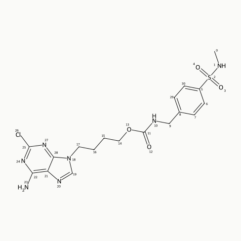 CNS(=O)(=O)c1ccc(CNC(=O)OCCCCn2cnc3c(N)nc(Cl)nc32)cc1